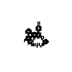 CN1CCC[C@H]1COc1nc(N2CCNCC2)c2cc(-c3cccnc3)c(-c3ccc(F)c4sc(N)nc34)c(F)c2n1